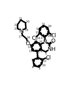 O=C1NCc2c(-c3ccccc3Cl)cc(OCCN3CCCCC3)cc2N1c1c(Cl)cccc1Cl